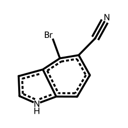 N#Cc1ccc2[nH]ccc2c1Br